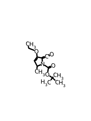 CCOC1=CC(C)N(C(=O)OC(C)(C)C)C1=C=O